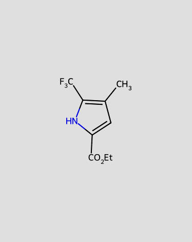 CCOC(=O)c1cc(C)c(C(F)(F)F)[nH]1